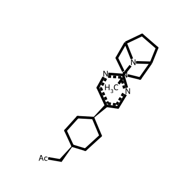 CC(=O)C[C@H]1CC[C@@H](c2cnc(N3C4CCC3CN(C)C4)nc2)CC1